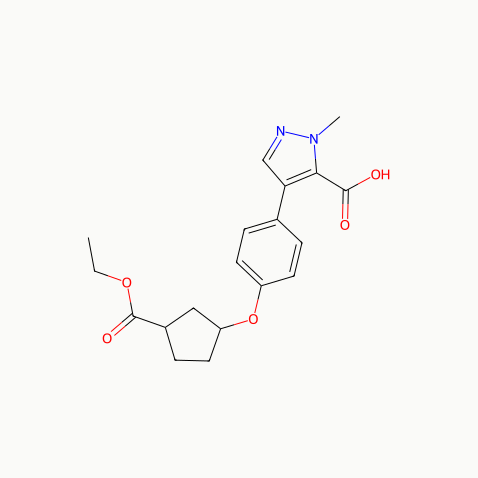 CCOC(=O)C1CCC(Oc2ccc(-c3cnn(C)c3C(=O)O)cc2)C1